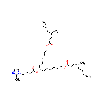 CCCCC(C)CCC(=O)OCCCCCCC(CCCCCCOC(=O)CCC(C)CCCC)OC(=O)CCCn1ccnc1C